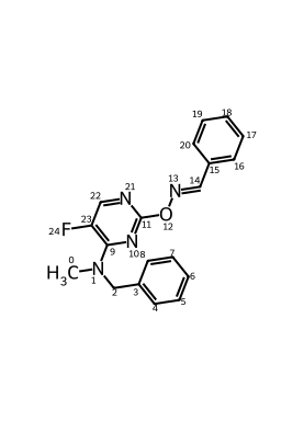 CN(Cc1ccccc1)c1nc(ON=Cc2ccccc2)ncc1F